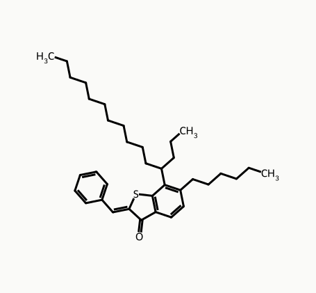 CCCCCCCCCCCC(CCC)c1c(CCCCCC)ccc2c1SC(=Cc1ccccc1)C2=O